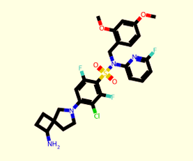 COc1ccc(CN(c2cccc(F)n2)S(=O)(=O)c2c(F)cc(N3CCC4(CCC4N)C3)c(Cl)c2F)c(OC)c1